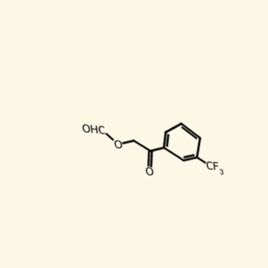 O=COCC(=O)c1cccc(C(F)(F)F)c1